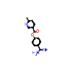 Cc1ccc(C(=O)Oc2ccc(C(=N)N)cc2)cn1